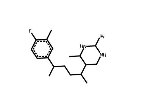 Cc1cc(C(C)CCC(C)C2CNC(C(C)C)NC2C)ccc1F